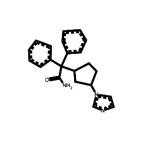 NC(=O)C(c1ccccc1)(c1ccccc1)C1CCC(n2ccnc2)C1